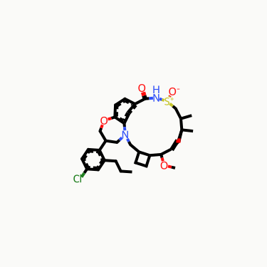 CCCc1cc(Cl)ccc1C1COc2ccc3cc2N(C1)CC1CCC1C(OC)C1=CC(C)(C1)C(C)C[S+]([O-])NC3=O